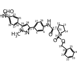 Cn1nc(-c2ccc(NC(=O)[C@@H]3CCCN3C(=O)OCc3ccccc3)cc2)cc1-c1ccc(NC=O)cc1